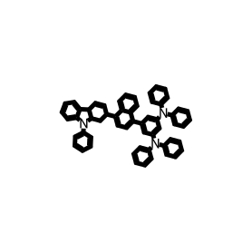 C1=CC2c3ccccc3N(c3ccccc3)C2CC1c1ccc(-c2cc(N(c3ccccc3)c3ccccc3)cc(N(c3ccccc3)c3ccccc3)c2)c2ccccc12